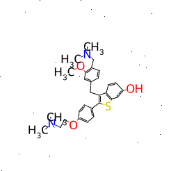 COc1cc(Cc2c(-c3ccc(OCCN(C)C)cc3)sc3cc(O)ccc23)ccc1CN(C)C